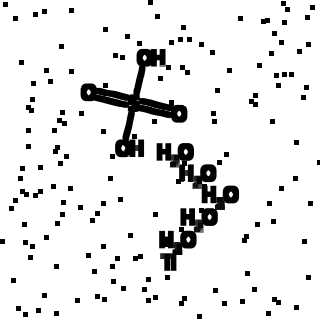 O.O.O.O.O.O=S(=O)(O)O.[Ti]